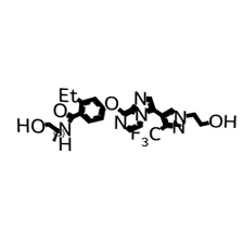 CCc1cc(Oc2nccn3c(-c4cn(CCO)nc4C(F)(F)F)cnc23)ccc1C(=O)N[C@@H](C)CO